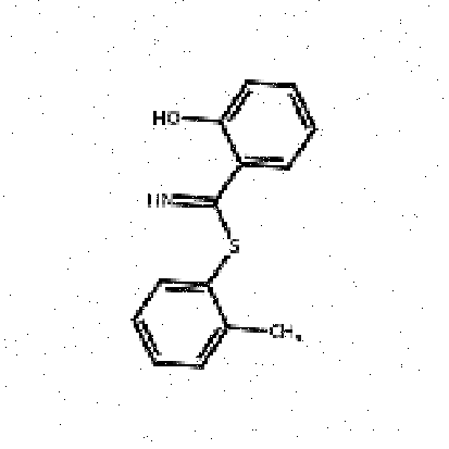 Cc1ccccc1SC(=N)c1ccccc1O